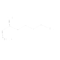 CCCCCCCCC(C)CCCCC(C)CC